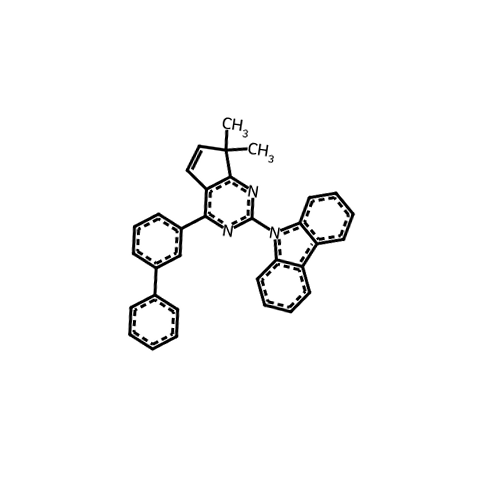 CC1(C)C=Cc2c(-c3cccc(-c4ccccc4)c3)nc(-n3c4ccccc4c4ccccc43)nc21